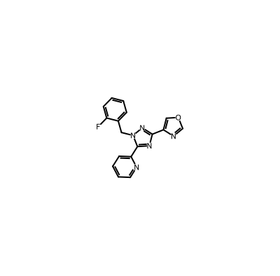 Fc1ccccc1Cn1nc(-c2cocn2)nc1-c1ccccn1